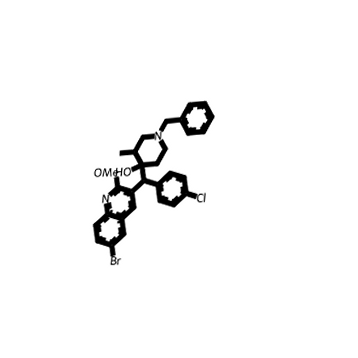 COc1nc2ccc(Br)cc2cc1C(c1ccc(Cl)cc1)C1(O)CCN(Cc2ccccc2)CC1C